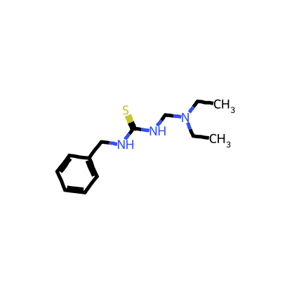 CCN(CC)CNC(=S)NCc1ccccc1